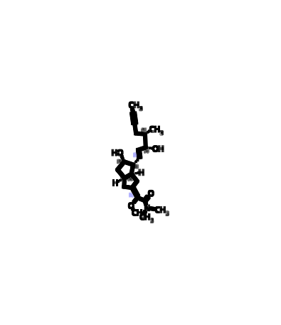 CC#CC[C@H](C)[C@H](O)/C=C/[C@@H]1[C@H]2C/C(=C(/OC)C(=O)N(C)C)C[C@H]2C[C@H]1O